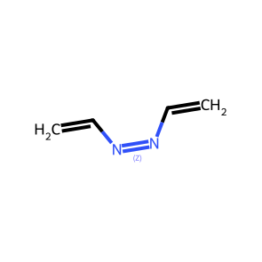 C=C/N=N\C=C